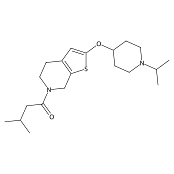 CC(C)CC(=O)N1CCc2cc(OC3CCN(C(C)C)CC3)sc2C1